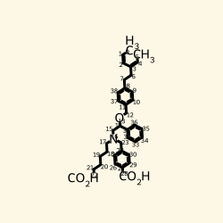 C/C=C\C(=C/C)CCc1ccc(COC(CN(CCCCCC(=O)O)Cc2ccc(C(=O)O)cc2)c2ccccc2)cc1